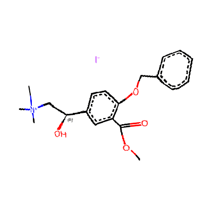 COC(=O)c1cc([C@@H](O)C[N+](C)(C)C)ccc1OCc1ccccc1.[I-]